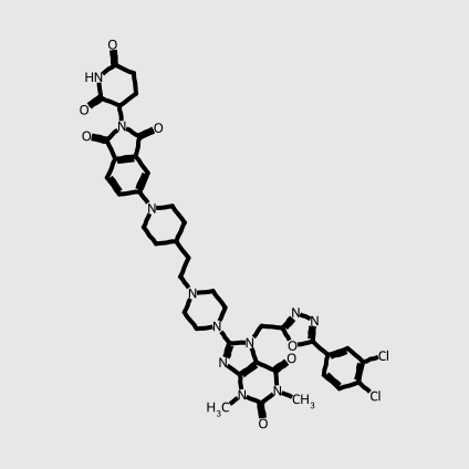 Cn1c(=O)c2c(nc(N3CCN(CCC4CCN(c5ccc6c(c5)C(=O)N(C5CCC(=O)NC5=O)C6=O)CC4)CC3)n2Cc2nnc(-c3ccc(Cl)c(Cl)c3)o2)n(C)c1=O